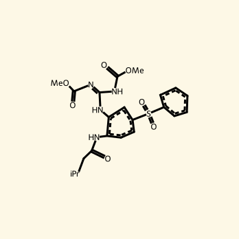 COC(=O)N=C(NC(=O)OC)Nc1cc(S(=O)(=O)c2ccccc2)ccc1NC(=O)CC(C)C